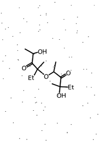 CCC(C)(O)C(=O)C(C)OC(C)(CC)C(=O)C(C)O